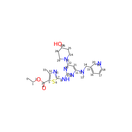 CCOC(=O)c1sc(Nc2nc(N(C)Cc3cccnc3)cc(N3CCC(O)CC3)n2)nc1C